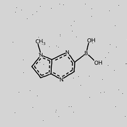 Cn1ccc2ncc(B(O)O)nc21